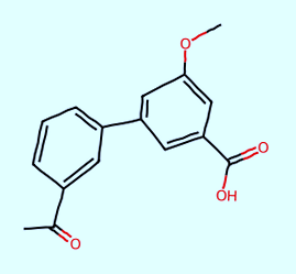 COc1cc(C(=O)O)cc(-c2cccc(C(C)=O)c2)c1